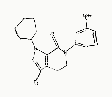 CCc1nn(C2CCCCC2)c2c1CCN(c1cccc(OC)c1)C2=O